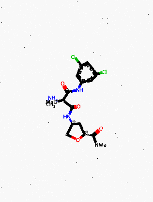 CN.CNC(=O)[C@@H]1C[C@H](NC(=O)C(OC)C(=O)Nc2cc(Cl)cc(Cl)c2)CO1